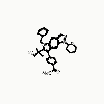 COC(=O)c1ccc(-c2c(C(C)(C)CC#N)n(Cc3ccccc3)c3cc4cnn(C5CCCCO5)c4cc23)cc1